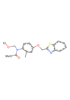 CCOCN(C(=O)OC)c1ccc(OCc2nc3ccccc3s2)cc1C